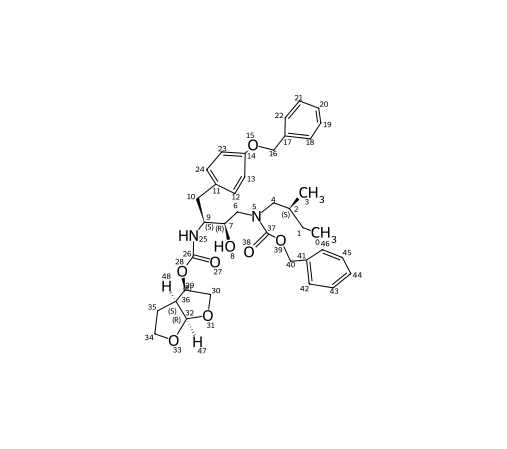 CC[C@H](C)CN(C[C@@H](O)[C@H](Cc1ccc(OCc2ccccc2)cc1)NC(=O)O[C@H]1CO[C@H]2OCC[C@H]21)C(=O)OCc1ccccc1